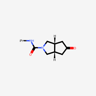 CC(C)NC(=O)N1C[C@H]2CC(=O)C[C@H]2C1